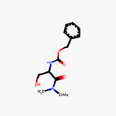 CON(C)C(=O)C(CO)NC(=O)OCc1ccccc1